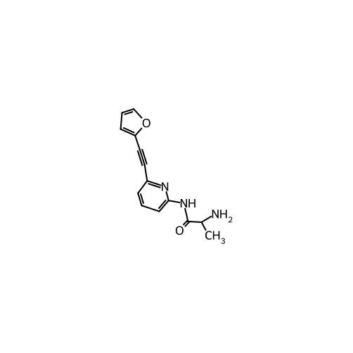 CC(N)C(=O)Nc1cccc(C#Cc2ccco2)n1